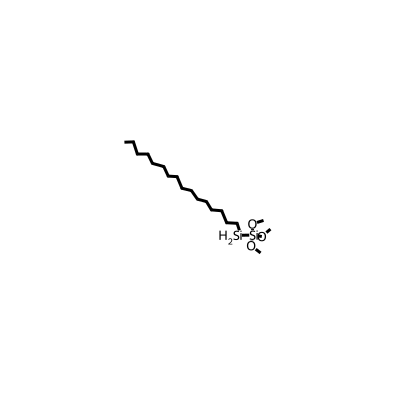 CCCCCCCCCCCCCCCC[SiH2][Si](OC)(OC)OC